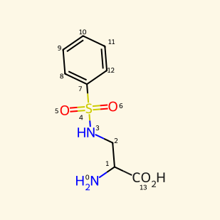 NC(CNS(=O)(=O)c1ccccc1)C(=O)O